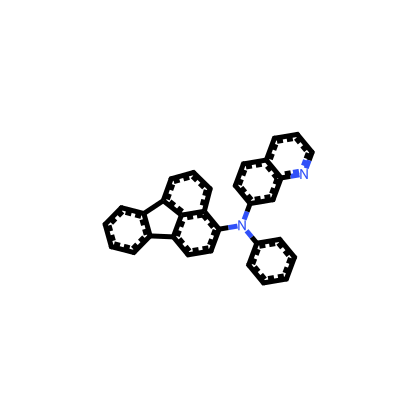 c1ccc(N(c2ccc3cccnc3c2)c2ccc3c4c(cccc24)-c2ccccc2-3)cc1